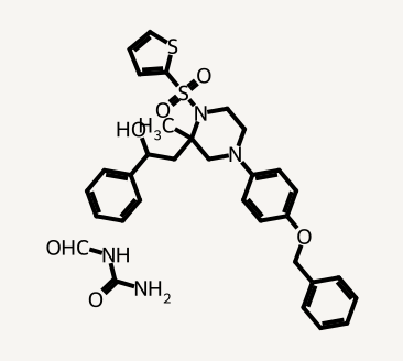 CC1(CC(O)c2ccccc2)CN(c2ccc(OCc3ccccc3)cc2)CCN1S(=O)(=O)c1cccs1.NC(=O)NC=O